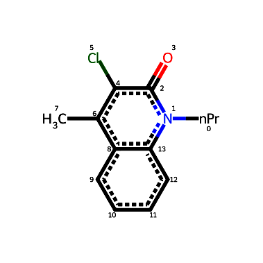 CCCn1c(=O)c(Cl)c(C)c2ccccc21